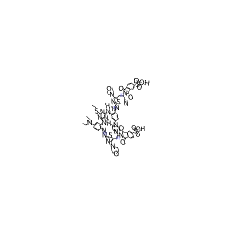 [C-]#[N+]/C(=C\c1sc(/N=N/c2ccc(N(CC)CC)cc2Nc2nc(Nc3cc(N(CC)CC)ccc3/N=N/c3nc(N4CCOCC4)c(/C=C(\C#N)N4C(=O)c5ccc(S(=O)(=O)O)cc5C4=O)s3)nc(SCC)n2)nc1N1CCOCC1)N1C(=O)c2ccc(S(=O)(=O)O)cc2C1=O